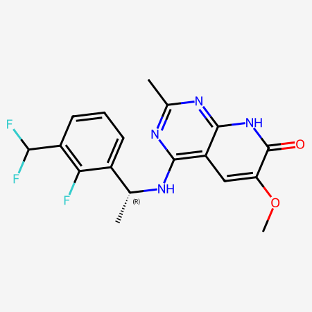 COc1cc2c(N[C@H](C)c3cccc(C(F)F)c3F)nc(C)nc2[nH]c1=O